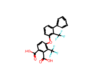 O=C(O)c1ccc(Oc2cccc(-c3ccccc3)c2C(F)(F)F)c(C(F)(F)F)c1C(=O)O